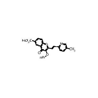 CCCOc1c(/C=C/c2ccc(C)cn2)oc2ccc(C(=O)O)cc2c1=O